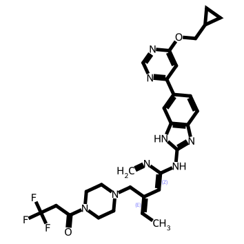 C=N/C(=C\C(=C/C)CN1CCN(C(=O)CC(F)(F)F)CC1)Nc1nc2ccc(-c3cc(OCC4CC4)ncn3)cc2[nH]1